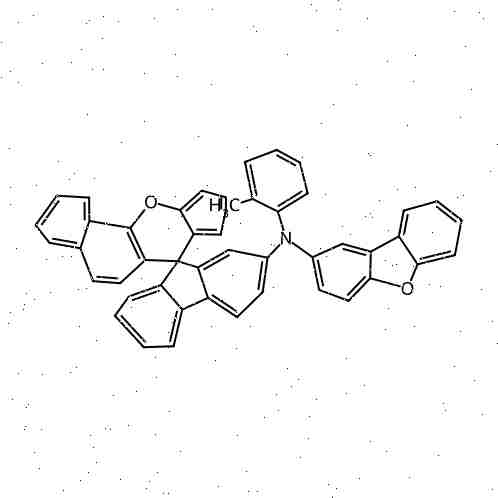 Cc1ccccc1N(c1ccc2c(c1)C1(c3ccccc3Oc3c1ccc1ccccc31)c1ccccc1-2)c1ccc2oc3ccccc3c2c1